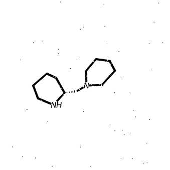 C1CCN(C[C@H]2CCCCN2)CC1